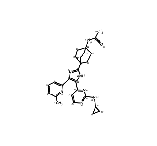 Cc1cccc(-c2nc(C34CCC(NC(=O)C(F)(F)F)(CC3)CC4)[nH]c2-c2ccnc(NC3CC3)n2)n1